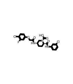 O=C(COc1ccc(Cl)c(F)c1)N[C@H]1CC[C@H](C(=O)Nc2cccc(Cl)c2)N(C(=O)O)C1